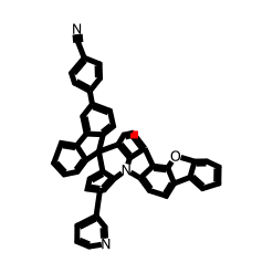 N#Cc1ccc(-c2ccc3c(c2)-c2ccccc2C32c3ccc(-c4cccnc4)cc3-n3c4ccc5c6ccccc6oc5c4c4cccc2c43)cc1